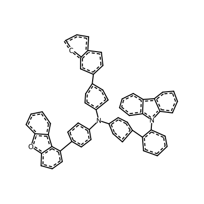 c1ccc(-n2c3ccccc3c3ccccc32)c(-c2ccc(N(c3ccc(-c4ccc5ccccc5c4)cc3)c3ccc(-c4cccc5oc6ccccc6c45)cc3)cc2)c1